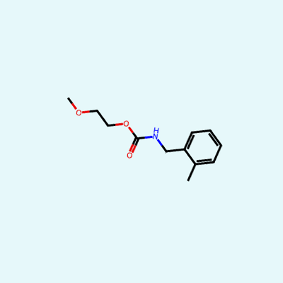 COCCOC(=O)N[CH]c1ccccc1C